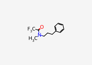 CN(CCCc1ccccc1)C(=O)C(F)(F)F